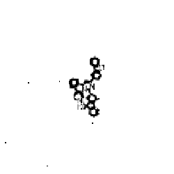 CC1(C)c2ccccc2-c2ccc(-c3nc(-c4ccc5oc6ccccc6c5c4)cc(-c4ccccc4C4=CCNC=C4)n3)cc21